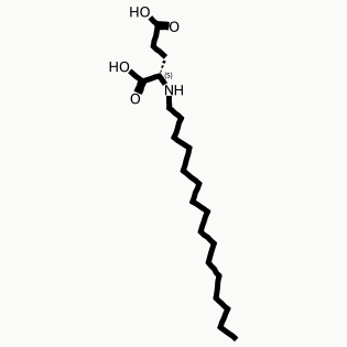 CCCCCCCCCCCCCCCCN[C@@H](CCC(=O)O)C(=O)O